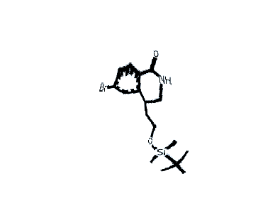 CC(C)(C)[Si](C)(C)OCCC1CNC(=O)c2ccc(Br)cc21